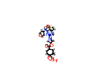 CN(c1nc(N2CC(OC(=O)C3CCC(O)CC3)C2)nc2c1[S+]([O-])CC2)C1CCOCC1